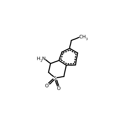 CCc1ccc2c(c1)C(N)CS(=O)(=O)C2